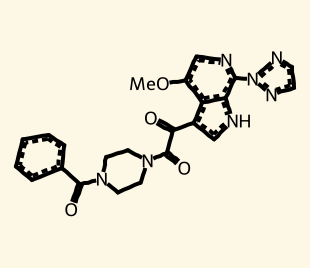 COc1cnc(-n2nccn2)c2[nH]cc(C(=O)C(=O)N3CCN(C(=O)c4ccccc4)CC3)c12